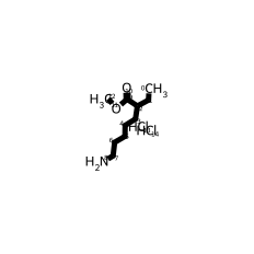 CCC(CCCCCN)C(=O)OC.Cl.Cl